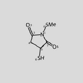 CSN1C(=O)CC(S)C1=O